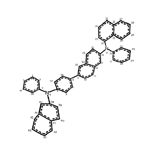 c1ccc(N(c2ccc(-c3ccc4cc(N(c5ccccc5)c5cccc6ccccc56)ccc4c3)cc2)c2ccc3ccccc3c2)cc1